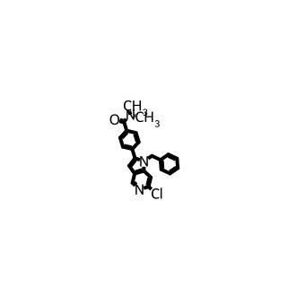 CN(C)C(=O)c1ccc(-c2cc3cnc(Cl)cc3n2Cc2ccccc2)cc1